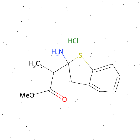 COC(=O)C(C)C1(N)Cc2ccccc2S1.Cl